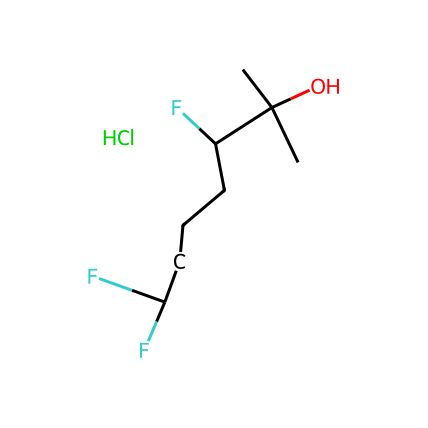 CC(C)(O)C(F)CCCC(F)F.Cl